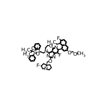 CCc1c(F)ccc2cc(OCOC)cc(-c3nc4c5c(nc(OC[C@@]67CCCN6C[C@H](F)C7)nc5c3F)N(CCO[Si](c3ccccc3)(c3ccccc3)C(C)(C)C)CCO4)c12